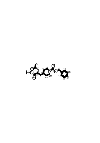 CC(=O)SC(CC1CCN(C(=O)OCc2ccccc2)CC1)C(=O)O